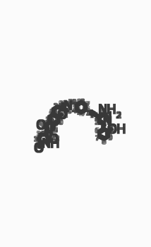 Nc1nnc(-c2ccccc2O)cc1C#C[C@H]1CC[C@@H](CN2CC3(CCc4cc5c(cc4O3)CN(C3CCC(=O)NC3=O)C5=O)C2)CC1